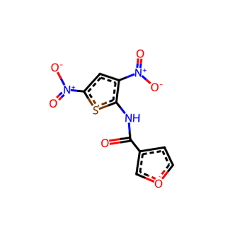 O=C(Nc1sc([N+](=O)[O-])cc1[N+](=O)[O-])c1ccoc1